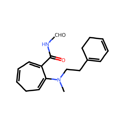 CN(CCC1=CC=CCC1)C1=CCC=CC=C1C(=O)NC=O